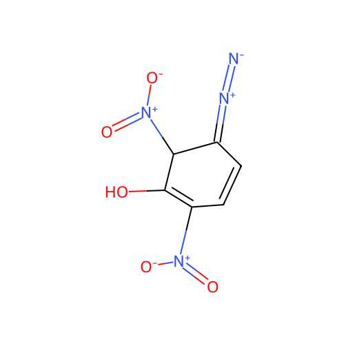 [N-]=[N+]=C1C=CC([N+](=O)[O-])=C(O)C1[N+](=O)[O-]